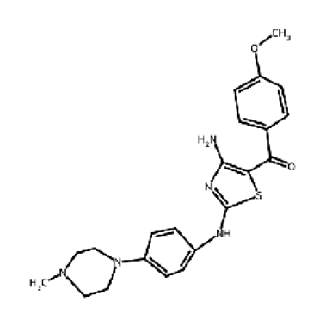 COc1ccc(C(=O)c2sc(Nc3ccc(N4CCN(C)CC4)cc3)nc2N)cc1